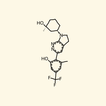 Cc1cc(C(F)(F)F)cc(O)c1-c1cc2c(nn1)N([C@@H]1CCC[C@](C)(O)C1)CC2